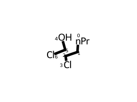 CCCCCCl.OCCl